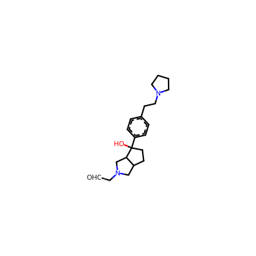 O=CCN1CC2CCC(O)(c3ccc(CCN4CCCC4)cc3)C2C1